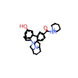 C=CCN1CCC2CCCC(C1)N2Cc1ccc(C(=O)NN2CCCCC2)cc1-c1cccc(O)c1